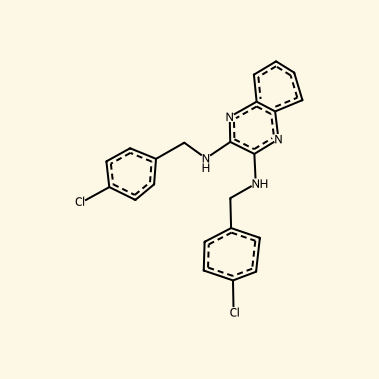 Clc1ccc(CNc2nc3ccccc3nc2NCc2ccc(Cl)cc2)cc1